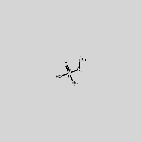 CCCCO[SH](=O)(O)CCCC